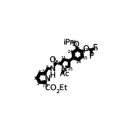 CCOC(=O)c1cccc(CNC(=O)[C@H]2CC(c3ccc(OC(F)F)c(OC(C)C)c3)CN2C(C)=O)n1